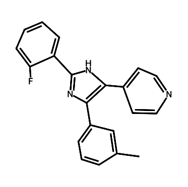 Cc1cccc(-c2nc(-c3ccccc3F)[nH]c2-c2ccncc2)c1